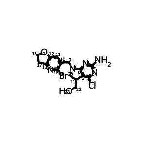 Nc1nc(Cl)c2c(n1)N(Cc1cc3c(nc1Br)CCO3)CC2CO